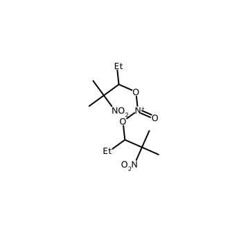 CCC(O[N+](=O)OC(CC)C(C)(C)[N+](=O)[O-])C(C)(C)[N+](=O)[O-]